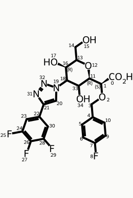 O=C(O)[C@@H](OCc1ccc(F)cc1)[C@@H]1OC(CO)[C@H](O)C(n2cc(-c3cc(F)c(F)c(F)c3)nn2)C1O